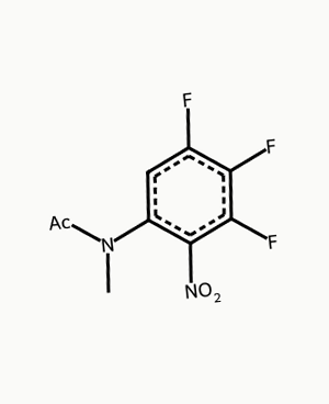 CC(=O)N(C)c1cc(F)c(F)c(F)c1[N+](=O)[O-]